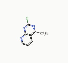 CCOC(=O)c1nc(Cl)nc2ncccc12